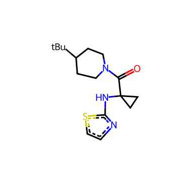 CC(C)(C)C1CCN(C(=O)C2(Nc3nccs3)CC2)CC1